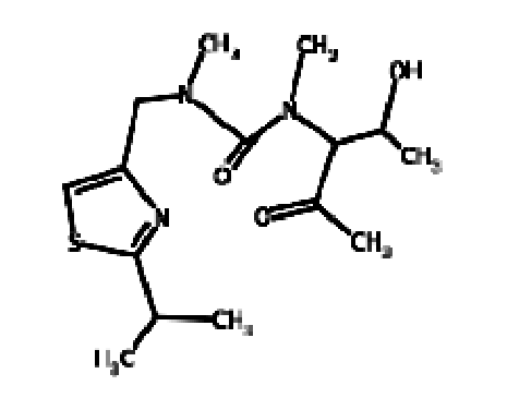 CC(=O)C(C(C)O)N(C)C(=O)N(C)Cc1csc(C(C)C)n1